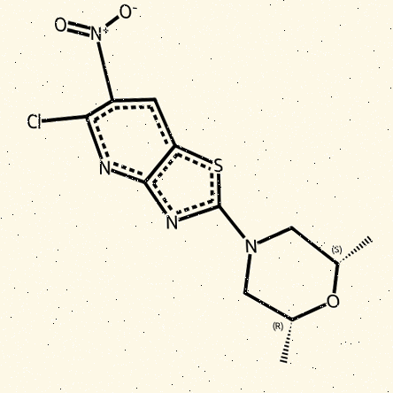 C[C@@H]1CN(c2nc3nc(Cl)c([N+](=O)[O-])cc3s2)C[C@H](C)O1